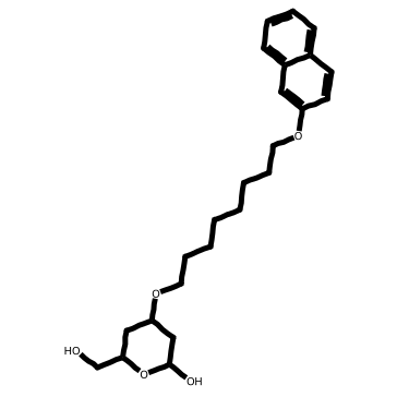 OCC1CC(OCCCCCCCCOc2ccc3ccccc3c2)CC(O)O1